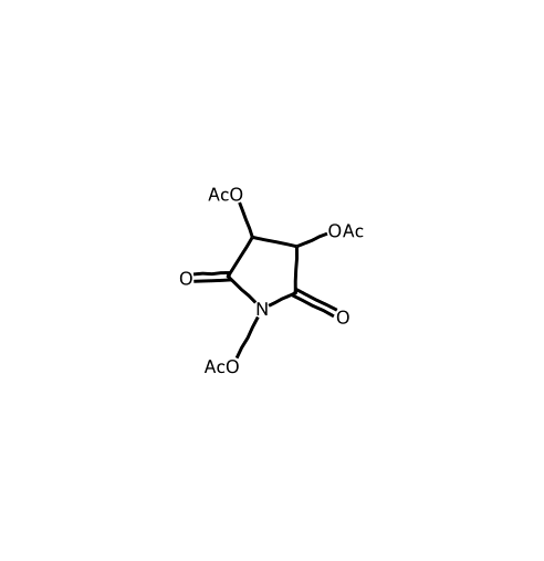 CC(=O)OC1C(=O)N(OC(C)=O)C(=O)C1OC(C)=O